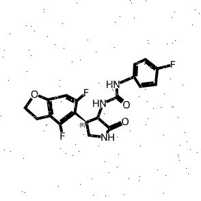 O=C(Nc1ccc(F)cc1)NC1C(=O)NC[C@H]1c1c(F)cc2c(c1F)CCO2